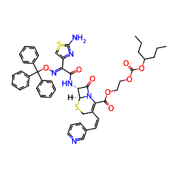 CCCC(CCC)OC(=O)OCCOC(=O)C1=C(/C=C\c2cccnc2)CS[C@H]2[C@H](NC(=O)C(=NOC(c3ccccc3)(c3ccccc3)c3ccccc3)c3csc(N)n3)C(=O)N12